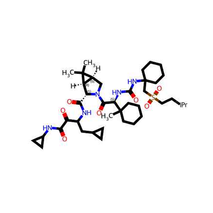 CC(C)CCS(=O)(=O)CC1(NC(=O)N[C@H](C(=O)N2C[C@H]3[C@@H]([C@H]2C(=O)NC(CC2CC2)C(=O)C(=O)NC2CC2)C3(C)C)C2(C)CCCCC2)CCCCC1